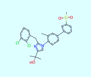 Cc1cc(-c2cccc(S(C)(=O)=O)c2)ccc1-n1cc(C(C)(C)O)nc1Cc1cccc(Cl)c1Cl